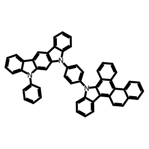 c1ccc(-n2c3ccccc3c3cc4c5ccccc5n(-c5ccc(-n6c7ccccc7c7c8ccc9ccccc9c8c8ccccc8c76)cc5)c4cc32)cc1